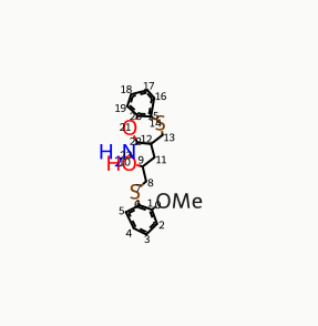 COc1ccccc1SCC(O)CC1CSc2ccccc2OC1N